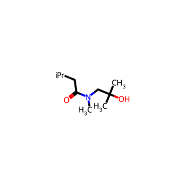 CC(C)CC(=O)N(C)CC(C)(C)O